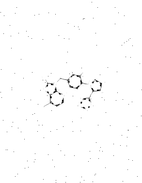 CCCCc1nc2c(C)ccnc2n1Cc1ccc(-n2cccc2-c2nnn[nH]2)c(Cl)c1